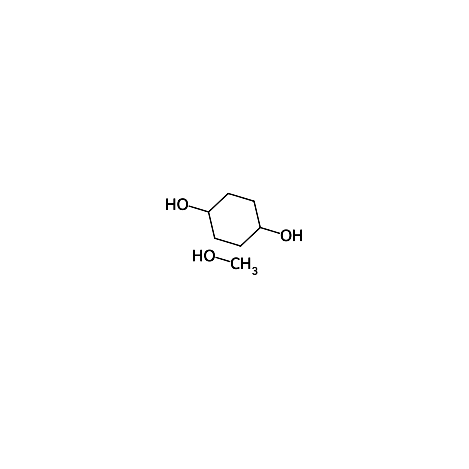 CO.OC1CCC(O)CC1